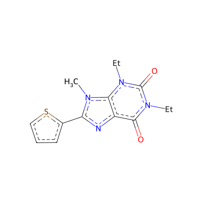 CCn1c(=O)c2nc(-c3cccs3)n(C)c2n(CC)c1=O